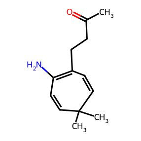 CC(=O)CCC1=C(N)C=CC(C)(C)C=C1